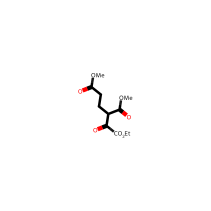 CCOC(=O)C(=O)C(CCC(=O)OC)C(=O)OC